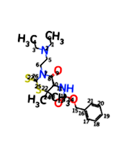 CCN(CC)CCN1C(=O)C(NC(=O)OCc2ccccc2)C(C)(C)SC1=S